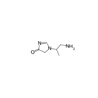 CC(CN)N1C=NC(=O)C1